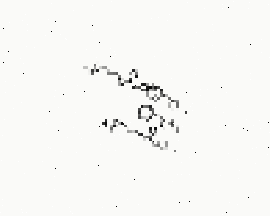 C=CC(=O)OCCCC.C=CC(=O)OCCCC.C=Cc1ccccc1.C=Cc1ccccc1